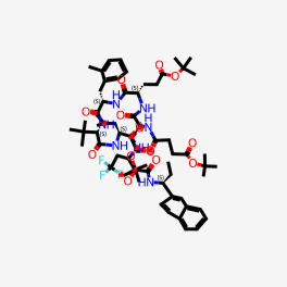 CC[C@H](NC(=O)C(=O)C(CC(F)(F)F)NC(=O)[C@H](CC(C)C)NC(=O)[C@@H](NC(=O)[C@H](Cc1ccccc1C)NC(=O)[C@H](CCC(=O)OC(C)(C)C)NC(=O)[C@H](CC(=O)OC(C)(C)C)NC(=O)CCC(=O)OC(C)(C)C)C(C)(C)C)c1ccc2ccccc2c1